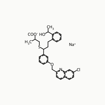 CC(CSC(CCc1ccccc1C(C)O)c1cccc(OCc2ccc3ccc(Cl)cc3n2)c1)C(=O)[O-].[Na+]